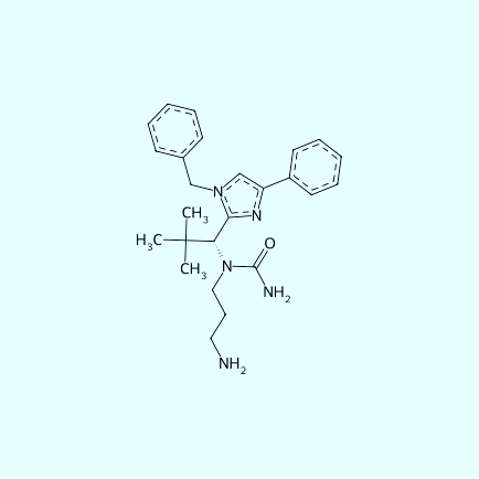 CC(C)(C)[C@H](c1nc(-c2ccccc2)cn1Cc1ccccc1)N(CCCN)C(N)=O